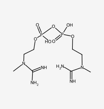 CN(CCOP(=O)(O)OP(=O)(O)OCCN(C)C(=N)N)C(=N)N